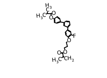 C=C(C)C(=O)OCCCOc1ccc(-c2cccc(-c3ccc(OC(=O)C(C)C)cc3)c2)cc1F